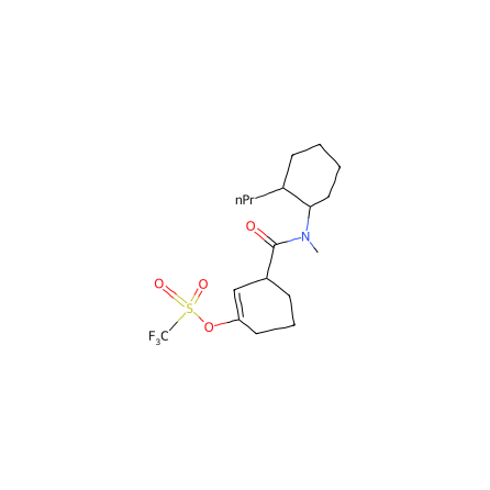 CCCC1CCCCC1N(C)C(=O)C1C=C(OS(=O)(=O)C(F)(F)F)CCC1